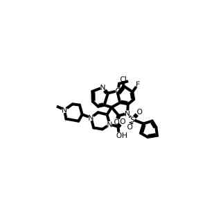 CCOc1ncccc1C1(C2CN(C3CCN(C)CC3)CCN2C(=O)O)C(=O)N(S(=O)(=O)c2ccccc2)c2cc(F)c(Cl)cc21